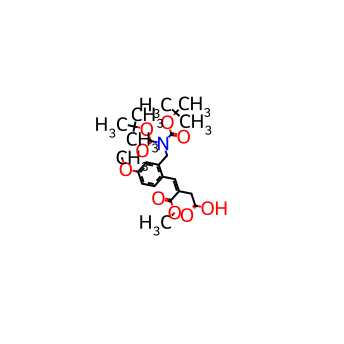 COC(=O)C(=Cc1ccc(OC)cc1CN(C(=O)OC(C)(C)C)C(=O)OC(C)(C)C)CC(=O)O